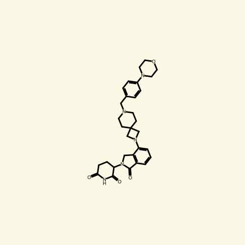 O=C1CCC(N2Cc3c(cccc3N3CC4(CCN(Cc5ccc(N6CCOCC6)cc5)CC4)C3)C2=O)C(=O)N1